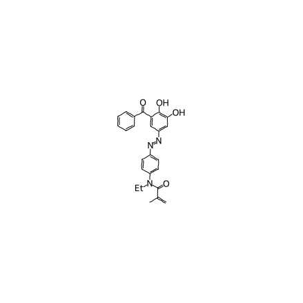 C=C(C)C(=O)N(CC)c1ccc(N=Nc2cc(O)c(O)c(C(=O)c3ccccc3)c2)cc1